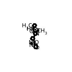 COc1ncc(-c2ccc3nc(N)n(-c4ccccc4)c(=O)c3c2)cc1S(=O)(=O)Nc1ccccc1C